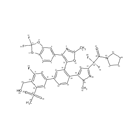 Cc1nc(-c2ccc3c(c2)OC(F)(F)O3)c(-c2cc(-c3cc(F)c(CO)c(S(C)(=O)=O)c3)ccc2-c2cc(C(F)(F)C(=O)N3CCCC3)nn2C)o1